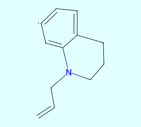 C=CCN1CCCc2cc[c]cc21